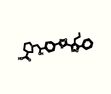 CCCc1c(-c2nc(-c3ccc(C(O)CN4CCCC(C(=O)O)C4)cc3)no2)noc1-c1ccccc1